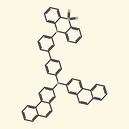 O=S1(=O)c2ccccc2N(c2cccc(-c3ccc(N(c4ccc5c(ccc6ccccc65)c4)c4ccc5c(ccc6ccccc65)c4)cc3)c2)c2ccccc21